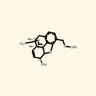 CC(=O)O[C@H]1C=C[C@H]2[C@H]3Cc4ccc(COC=O)c5c4[C@@]2(CCN3C)C1O5